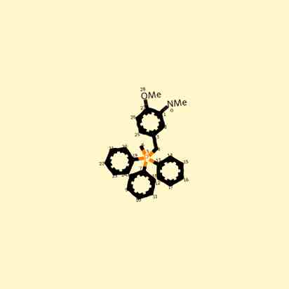 CNc1cc(CP(C)(c2ccccc2)(c2ccccc2)c2ccccc2)ccc1OC